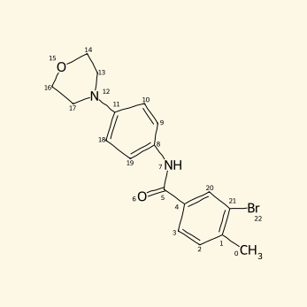 Cc1ccc(C(=O)Nc2ccc(N3CCOCC3)cc2)cc1Br